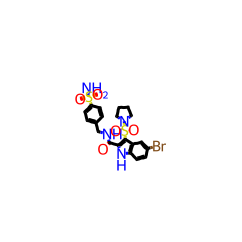 NS(=O)(=O)c1ccc(CNC(=O)c2[nH]c3ccc(Br)cc3c2S(=O)(=O)N2CCCC2)cc1